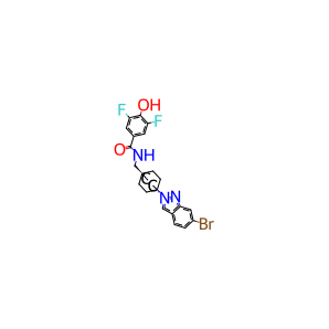 O=C(NC[C@]12CC[C@](n3cc4ccc(Br)cc4n3)(CC1)CC2)c1cc(F)c(O)c(F)c1